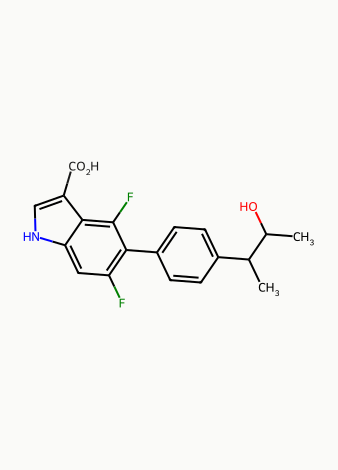 CC(O)C(C)c1ccc(-c2c(F)cc3[nH]cc(C(=O)O)c3c2F)cc1